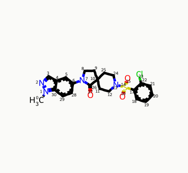 Cn1ncc2cc(N3CCC4(CCN(S(=O)(=O)c5ccccc5Cl)CC4)C3=O)ccc21